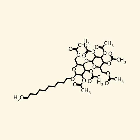 C=CCCCCCCCCCOC1OC(COC(C)=O)C(OC2OC(COC(C)=O)C(OC(C)=O)C(OC(C)=O)C2OC(C)=O)C(OC(C)=O)C1OC(C)=O